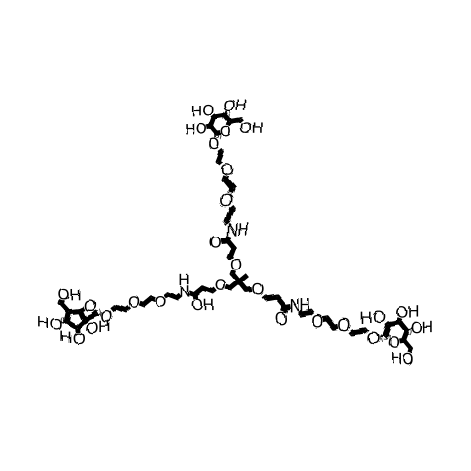 CC(COCCC(=O)NCCOCCOCCO[C@H]1OC(CO)[C@@H](O)C(O)C1O)(COCCC(=O)NCCOCCOCCO[C@H]1OC(CO)[C@@H](O)C(O)C1O)COCCC(O)NCCOCCOCCO[C@H]1OC2C(CO)[C@@H](O)C(O)C21O